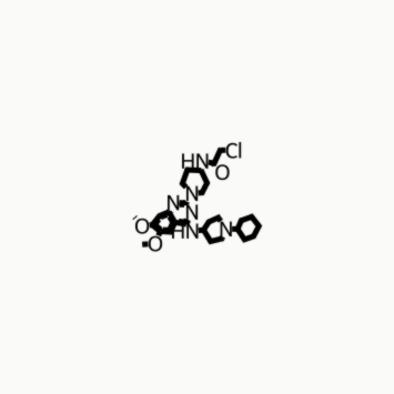 COc1cc2nc(N3CCC(NC(=O)CCl)CC3)nc(NC3CCN(C4CCCCC4)CC3)c2cc1OC